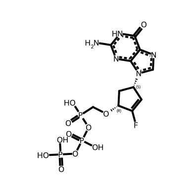 Nc1nc2c(ncn2[C@@H]2C=C(F)[C@H](OCP(=O)(O)OP(=O)(O)OP(=O)(O)O)C2)c(=O)[nH]1